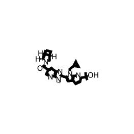 Cn1c(-c2cc3ccc(C(C)(C)O)nc3n2CC2CC2)nc2cc(C(=O)N3C[C@H]4CC5[C@H]4[C@@H]53)cnc21